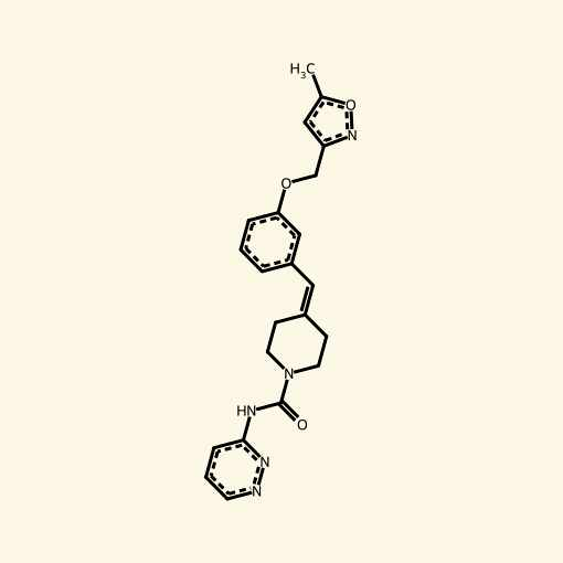 Cc1cc(COc2cccc(C=C3CCN(C(=O)Nc4cccnn4)CC3)c2)no1